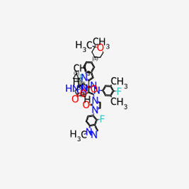 Cc1cc(-n2nc3c(c2-n2ccn(-c4ccc5c(cnn5C)c4F)c2=O)[C@H]2CC[C@@H]([C@H]3F)N2C(=O)c2cc3cc([C@H]4CCOC(C)(C)C4)ccc3n2[C@@]2(c3noc(=O)[nH]3)C[C@@H]2C)cc(C)c1F